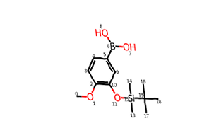 COc1ccc(B(O)O)cc1O[Si](C)(C)C(C)(C)C